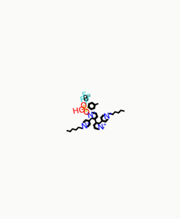 CCCCCC[n+]1ccc(-c2c(-c3ccc[n+](C)c3-c3cc[n+](CCCCCC)cc3)ccc[n+]2C)cc1.Cc1ccc(S(=O)(=O)O)cc1.F[B-](F)(F)F